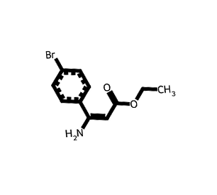 CCOC(=O)/C=C(/N)c1ccc(Br)cc1